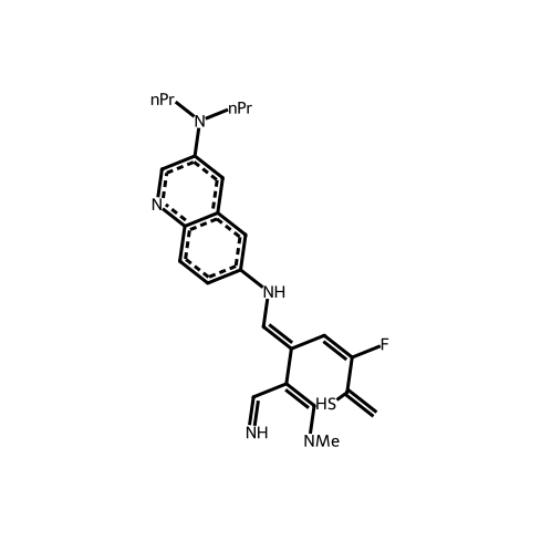 C=C(S)\C(F)=C/C(=C\Nc1ccc2ncc(N(CCC)CCC)cc2c1)C(/C=N)=C/NC